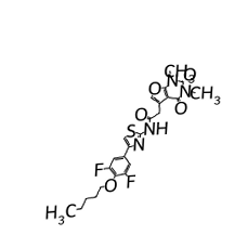 CCCCCOc1c(F)cc(-c2csc(NC(=O)Cc3coc4c3c(=O)n(C)c(=O)n4C)n2)cc1F